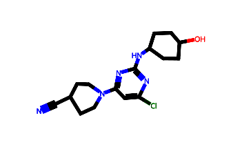 N#CC1CCN(c2cc(Cl)nc(NC3CCC(O)CC3)n2)CC1